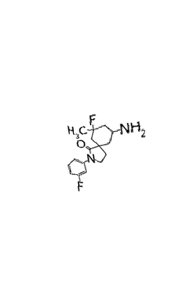 CC1(F)CC(N)CC2(CCN(c3cccc(F)c3)C2=O)C1